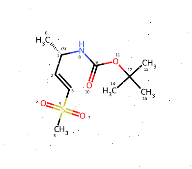 C[C@@H](C=CS(C)(=O)=O)NC(=O)OC(C)(C)C